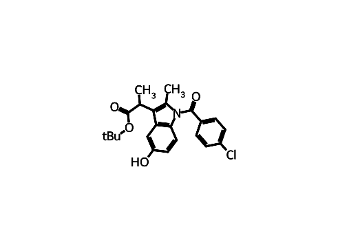 Cc1c(C(C)C(=O)OC(C)(C)C)c2cc(O)ccc2n1C(=O)c1ccc(Cl)cc1